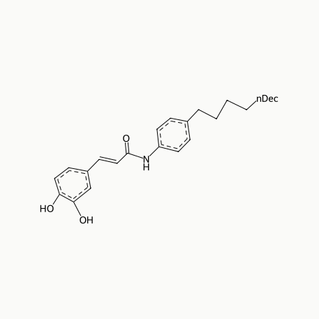 CCCCCCCCCCCCCCc1ccc(NC(=O)C=Cc2ccc(O)c(O)c2)cc1